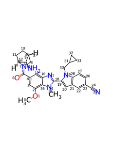 COc1cc(C(=O)N2C[C@H]3CC[C@H]2C3N)cc2nc(-c3cc4cc(C#N)ccc4n3CC3CC3)n(C)c12